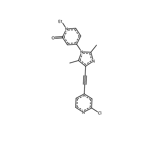 CCn1ccc(-n2c(C)nc(C#Cc3ccnc(Cl)c3)c2C)cc1=O